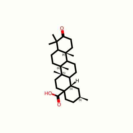 C[C@H]1CCC2(C(=O)O)CC[C@@]3(C)C(CCC4[C@@]5(C)CCC(=O)C(C)(C)C5CC[C@]43C)[C@@H]2C1